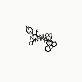 CN1CCN(c2nc(Cl)nc(NNC(=O)[C@H](CC3CCCC3)CC3(ONC=O)CCCCO3)c2F)CC1